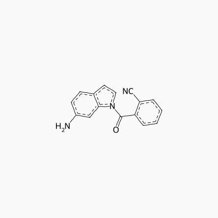 N#Cc1ccccc1C(=O)n1ccc2ccc(N)cc21